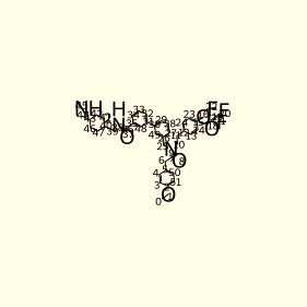 COc1ccc(CC(=O)N(CCc2ccc(OC(=O)C(F)(F)F)cc2)Cc2cccc(-c3cccc(C(=O)NCC4CCC(CN)CC4)c3)c2)cc1